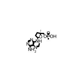 C/C=N\c1c(N)ncnc1N[C@H]1CC[C@@](C)(COP(C)(=O)O)O1